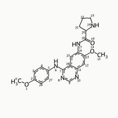 COc1ccc(Nc2ncnc3cc(OC)c(NC(=O)C4CCCN4)cc23)cc1